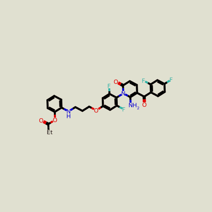 CCC(=O)Oc1ccccc1NCCCOc1cc(F)c(-n2c(N)c(C(=O)c3ccc(F)cc3F)ccc2=O)c(F)c1